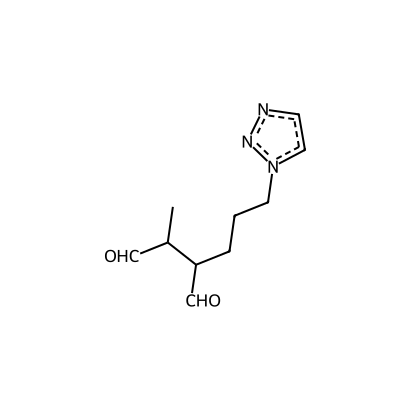 CC(C=O)C(C=O)CCCn1ccnn1